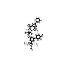 CC(C)(N)c1cc(O[C@@H]2[C@@H]3CN(C(=O)c4sc(-c5ncccn5)nc4C(F)(F)F)C[C@@H]32)nc(-c2ccc(F)cc2)c1